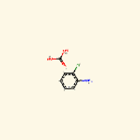 Nc1ccccc1Cl.O=C(O)O